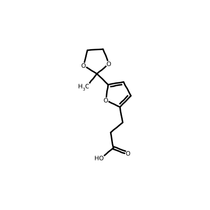 CC1(c2ccc(CCC(=O)O)o2)OCCO1